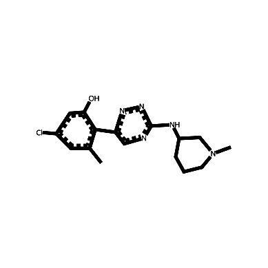 Cc1cc(Cl)cc(O)c1-c1cnc(NC2CCCN(C)C2)nn1